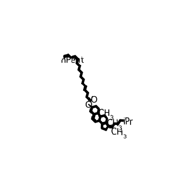 CCCCC/C=C\C/C=C\CCCCCCCCCCCC(=O)O[C@H]1CC[C@@]2(C)C(=CCC3C4CCC([C@H](C)CCCC(C)C)[C@@]4(C)CCC32)C1